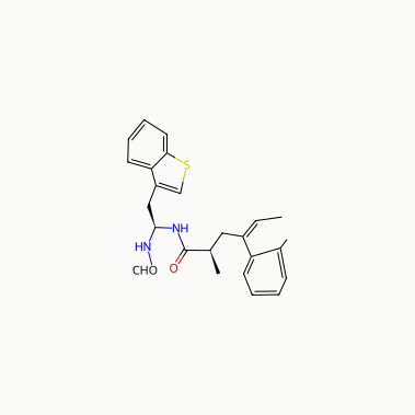 C/C=C(/C[C@@H](C)C(=O)N[C@H](Cc1csc2ccccc12)NC=O)c1ccccc1C